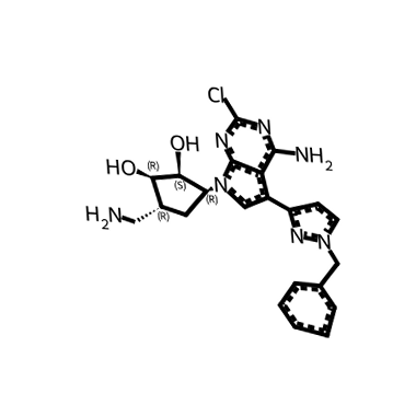 NC[C@H]1C[C@@H](n2cc(-c3ccn(Cc4ccccc4)n3)c3c(N)nc(Cl)nc32)[C@H](O)[C@@H]1O